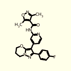 Cc1noc(C)c1C(=O)Nc1cc(-c2c(-c3ccc(F)cc3)nn3c2OCCC3)ccn1